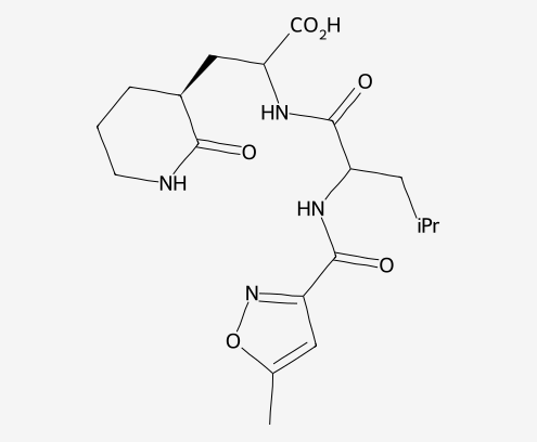 Cc1cc(C(=O)NC(CC(C)C)C(=O)NC(C[C@@H]2CCCNC2=O)C(=O)O)no1